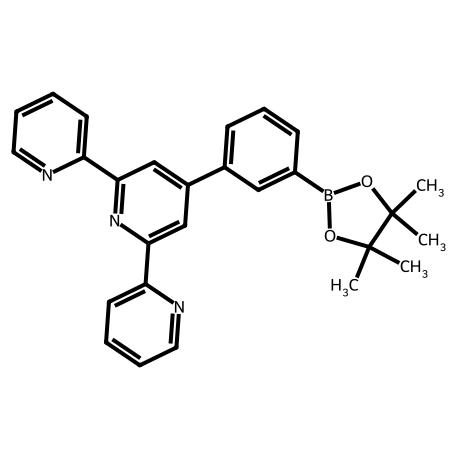 CC1(C)OB(c2cccc(-c3cc(-c4ccccn4)nc(-c4ccccn4)c3)c2)OC1(C)C